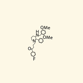 COc1ccc(OC)c(CNC2CCCN(CCCC(=O)c3ccc(F)cc3)C2c2ccccc2)c1